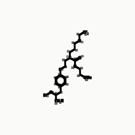 CCOC(Cc1ccc(OCCN(CCCOCC(F)(F)F)C(=O)OCCOC)cc1)C(=O)O